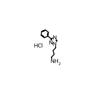 Cl.NCCCCn1cnc(-c2ccccc2)n1